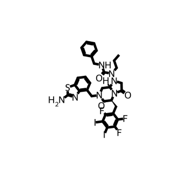 CCCN(C(=O)NCc1ccccc1)N1CC(=O)N2[C@@H](Cc3c(F)c(F)c(I)c(I)c3F)C(=O)N(Cc3cccc4sc(N)nc34)C[C@@H]21